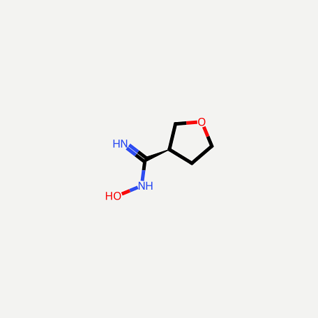 N=C(NO)[C@@H]1CCOC1